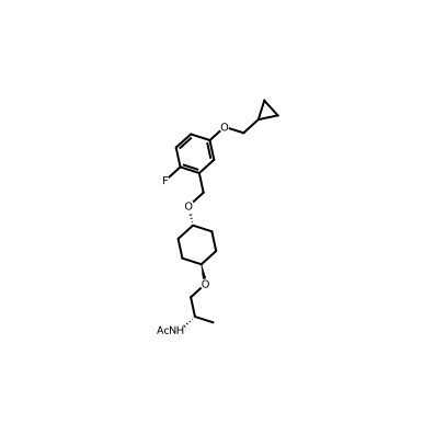 CC(=O)N[C@@H](C)CO[C@H]1CC[C@H](OCc2cc(OCC3CC3)ccc2F)CC1